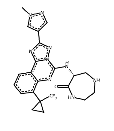 Cn1cc(-c2nc3c4cccc(C5(C(F)(F)F)CC5)c4nc(N[C@@H]4CNCCNC4=O)n3n2)cn1